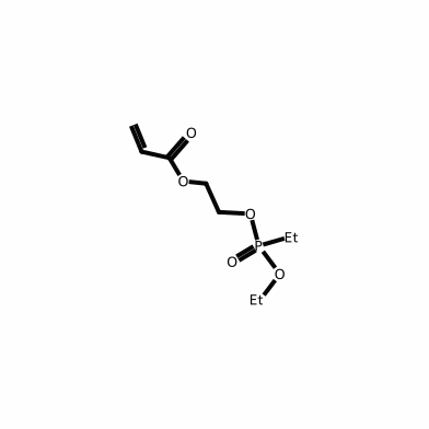 C=CC(=O)OCCOP(=O)(CC)OCC